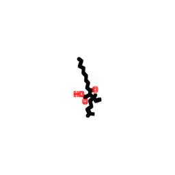 C=CC(C)(CCC=C(C)C)C(C(=O)O)C(=O)CCCCCCCCC